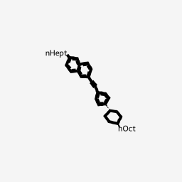 CCCCCCCC[C@H]1CC[C@H](c2ccc(C#Cc3ccc4cc(CCCCCCC)ccc4c3)cc2)CC1